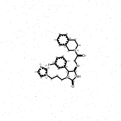 O=C(CN=C1NC(=O)N(CCCn2ccnc2)C1c1cccc(F)c1)N1CCc2ccccc2C1